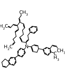 C=C/C=C(\C=C\CCC=C)C(/C=C\CC/C=C\C(=C/Cc1ccccc1)N(C1=CCC(c2ccc(C)c(/C=C\C)c2)C=C1)c1ccc(-c2ccc3c(c2)CCC=C3)cc1)=C/CC